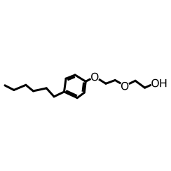 CCCCCCc1ccc(OCCOCCO)cc1